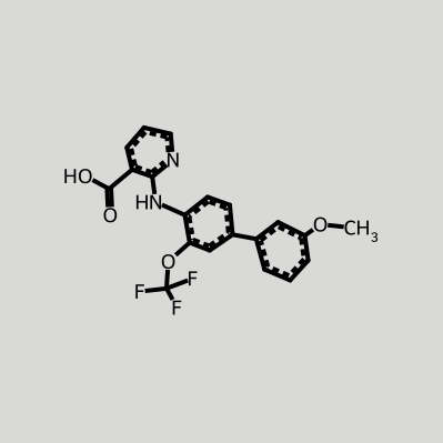 COc1cccc(-c2ccc(Nc3ncccc3C(=O)O)c(OC(F)(F)F)c2)c1